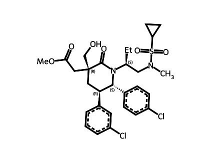 CC[C@@H](CN(C)S(=O)(=O)C1CC1)N1C(=O)[C@@](CO)(CC(=O)OC)C[C@H](c2cccc(Cl)c2)[C@H]1c1ccc(Cl)cc1